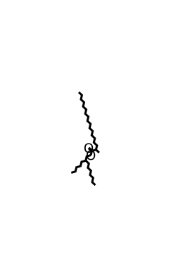 CCCCCCCCCCCCCCCCC(C)C(=O)OCC(CCCCC)CCCCCCC